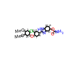 COc1ccc(Oc2ccc(-c3nc4cc(OC(N)=O)ccc4[nH]3)cc2Cl)cc1OC